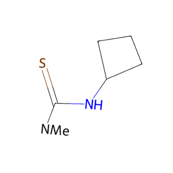 CNC(=S)NC1CCC1